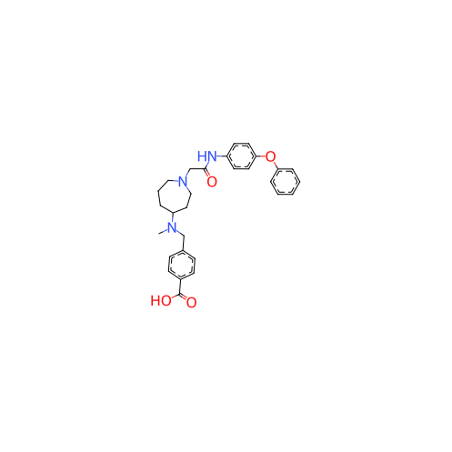 CN(Cc1ccc(C(=O)O)cc1)C1CCCN(CC(=O)Nc2ccc(Oc3ccccc3)cc2)CC1